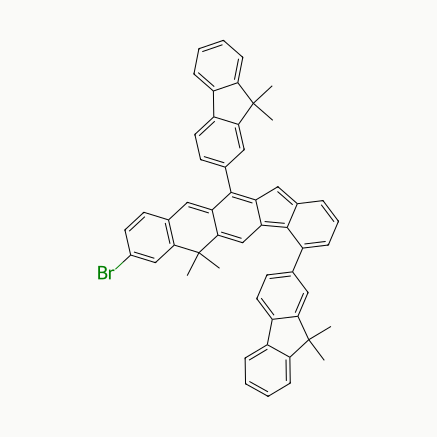 CC1(C)c2ccccc2-c2ccc(-c3c4c(cc5c3=Cc3ccc(Br)cc3C5(C)C)=c3c(-c5ccc6c(c5)C(C)(C)c5ccccc5-6)cccc3=C4)cc21